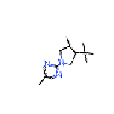 Cc1cnc(N2CC(C)C(C(C)(C)C)C2)nc1